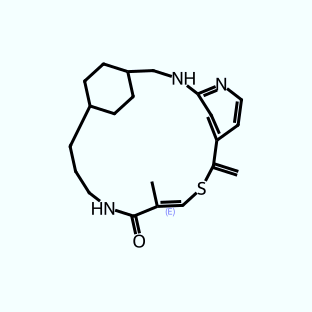 C=C1S/C=C(\C)C(=O)NCCCC2CCC(CC2)CNc2cc1ccn2